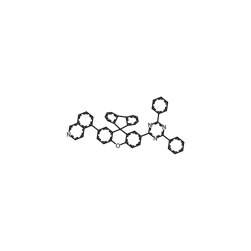 c1ccc(-c2nc(-c3ccccc3)nc(-c3ccc4c(c3)C3(c5cc(-c6cccc7cnccc67)ccc5O4)c4ccccc4-c4ccccc43)n2)cc1